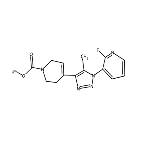 Cc1c(C2=CCN(C(=O)OC(C)C)CC2)nnn1-c1cccnc1F